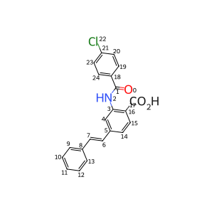 O=C(Nc1cc(C=Cc2ccccc2)ccc1C(=O)O)c1ccc(Cl)cc1